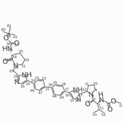 COC(=O)NC(C(=O)N1CCCC1c1ncc(-c2ccc(-c3ccc(-c4cnc(CN5CCC[C@@H](NC(=O)OC(C)(C)C)C5=O)[nH]4)cc3)cc2)[nH]1)C(C)C